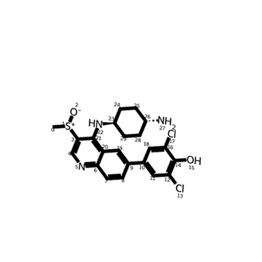 C[S+]([O-])c1cnc2ccc(-c3cc(Cl)c(O)c(Cl)c3)cc2c1N[C@H]1CC[C@H](N)CC1